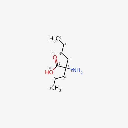 CCCCC(N)(CCC)C(=O)O